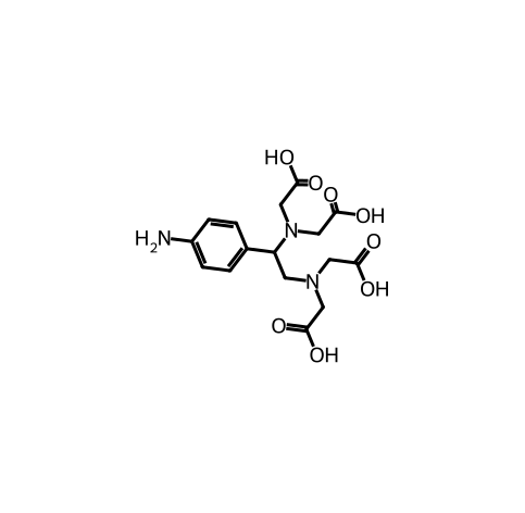 Nc1ccc(C(CN(CC(=O)O)CC(=O)O)N(CC(=O)O)CC(=O)O)cc1